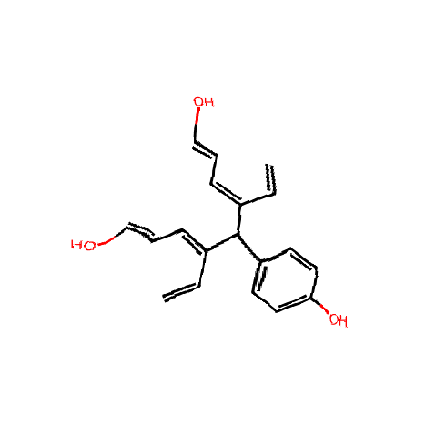 C=C/C(=C\C=C\O)C(/C(C=C)=C/C=C/O)c1ccc(O)cc1